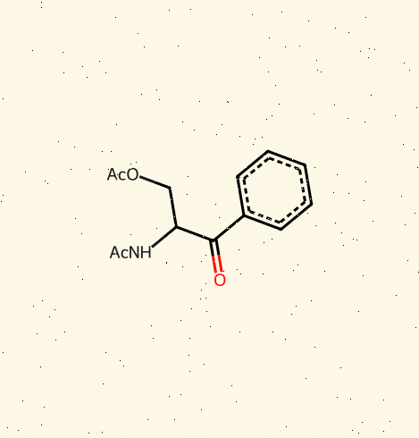 CC(=O)NC(COC(C)=O)C(=O)c1ccccc1